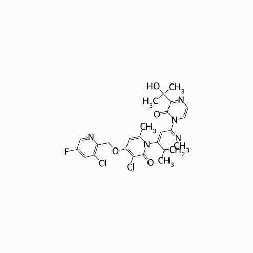 C=C(C)/C(=C\C(=N/C)n1ccnc(C(C)(C)O)c1=O)n1c(C)cc(OCc2ncc(F)cc2Cl)c(Cl)c1=O